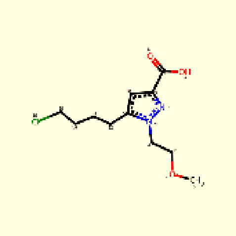 COCCn1nc(C(=O)O)cc1CCCCCl